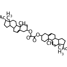 CC(=O)C1CCC2C3CC=C4CC(OC(=O)C(=O)OC5CCC6(C)C(=CCC7C6CCC6(C)C(C(C)=O)CCC76)C5)CCC4(C)C3CCC12C